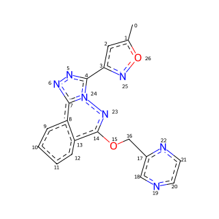 Cc1cc(-c2nnc3c4ccccc4c(OCc4cnccn4)nn23)no1